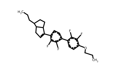 CCCOc1ccc(-c2ccc(C3=CCC4C(CCC)CCC34)c(F)c2F)c(F)c1F